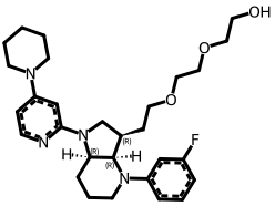 OCCOCCOCC[C@@H]1CN(c2cc(N3CCCCC3)ccn2)[C@@H]2CCCN(c3cccc(F)c3)[C@H]12